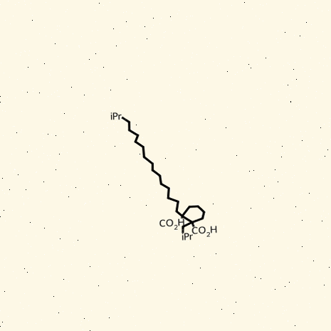 CC(C)CCCCCCCCCCCCCCC1(C(=O)O)CCCCC1(CC(C)C)C(=O)O